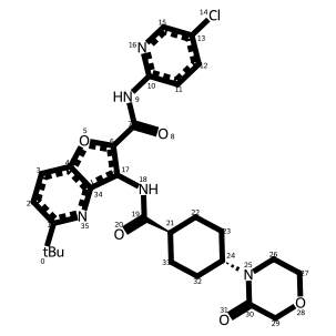 CC(C)(C)c1ccc2oc(C(=O)Nc3ccc(Cl)cn3)c(NC(=O)[C@H]3CC[C@H](N4CCOCC4=O)CC3)c2n1